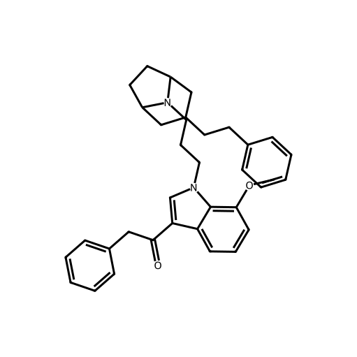 COc1cccc2c(C(=O)Cc3ccccc3)cn(CCCN3C4CCC3CC(CCc3ccccc3)C4)c12